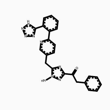 CCCn1nc(C(=O)Cc2ccccc2)nc1Cc1ccc(-c2ccccc2-c2nnn[nH]2)nc1